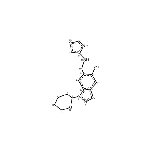 Clc1cc2cnn(C3CCCCO3)c2cc1CNc1cscn1